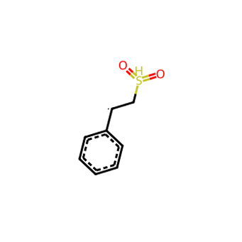 O=[SH](=O)C[CH]c1ccccc1